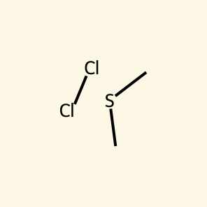 CSC.ClCl